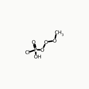 COOOP(=O)(O)Cl